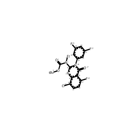 CCN(C(=O)OC(C)(C)C)c1nc2c(Cl)ccc(F)c2c(=O)n1-c1cc(F)cc(F)c1